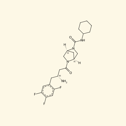 N[C@@H](CC(=O)N1C[C@@H]2C[C@H]1CN2C(=O)NC1CCCCC1)Cc1cc(F)c(F)cc1F